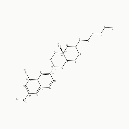 CCCCCCC1CCC2C[C@H](c3ccc4cc(OC)cc(F)c4c3)CC[C@@H]2C1